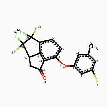 Cc1cc(F)cc(Oc2ccc3c4c2C(=O)CC4C(F)(F)C3(F)F)c1